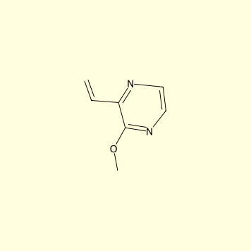 C=Cc1nccnc1OC